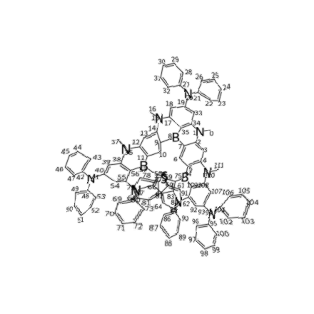 CN1c2cc3c(cc2B2c4cc5c(cc4N(C)c4cc(N(c6ccccc6)c6ccccc6)cc1c42)N(C)c1cc(N(c2ccccc2)c2ccccc2)cc2c1B5c1sc4ccccc4c1N2c1ccccc1)B1c2sc4ccccc4c2N(c2ccccc2)c2cc(N(c4ccccc4)c4ccccc4)cc(c21)N3C